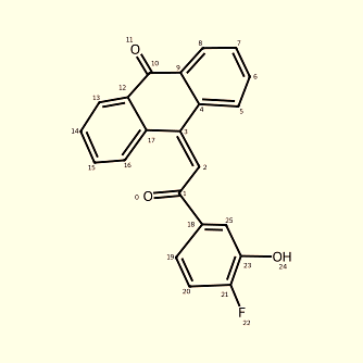 O=C(C=C1c2ccccc2C(=O)c2ccccc21)c1ccc(F)c(O)c1